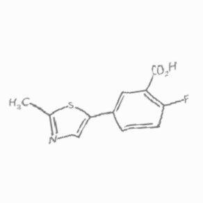 Cc1ncc(-c2ccc(F)c(C(=O)O)c2)s1